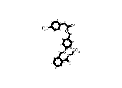 O=C(Cc1ccc(C(F)(F)F)cc1)OCc1ccc(SCc2ccccc2C(=O)OCC(Cl)(Cl)Cl)cc1